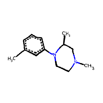 Cc1cccc(N2CCN(C)CC2C)c1